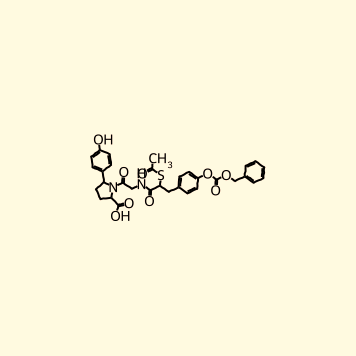 CC(=O)SC(Cc1ccc(OC(=O)OCc2ccccc2)cc1)C(=O)NCC(=O)N1C(C(=O)O)CCC1c1ccc(O)cc1